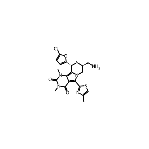 Cc1csc(-c2c3c(=O)n(C)c(=O)n(C)c3c3n2C[C@H](CN)S[C@H]3c2ccc(Cl)o2)n1